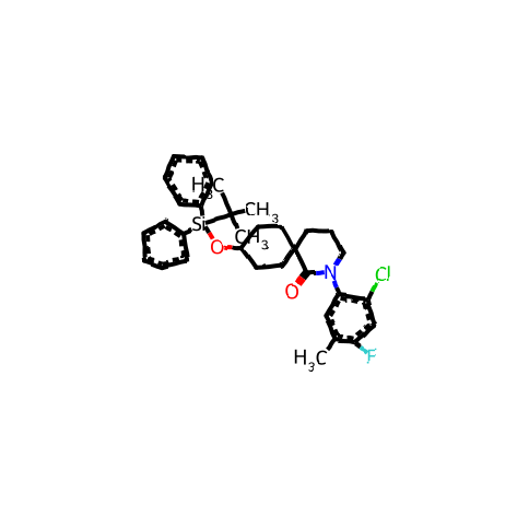 Cc1cc(N2CCCC3(CCC(O[Si](c4ccccc4)(c4ccccc4)C(C)(C)C)CC3)C2=O)c(Cl)cc1F